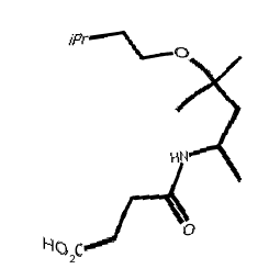 CC(C)CCOC(C)(C)CC(C)NC(=O)CCC(=O)O